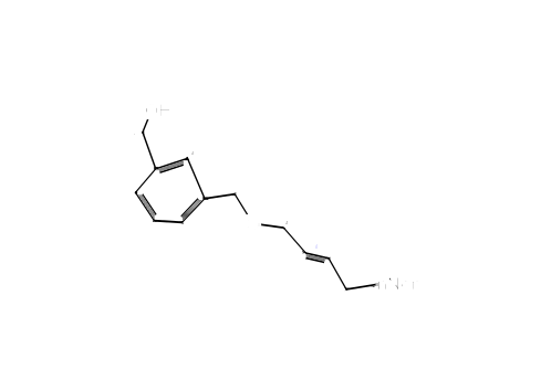 CCCCCCCCCC/C=C/COCc1cccc(CO)c1